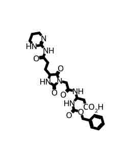 O=C(O)CC(NC(=O)CN1C(=O)NC(CCC(=O)NC2=NCCCN2)C1=O)NC(=O)OCc1ccccc1